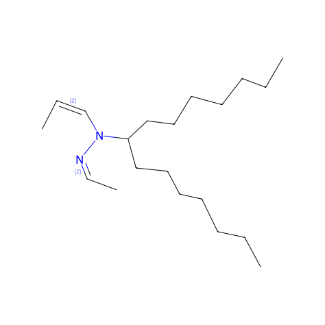 C/C=C\N(/N=C\C)C(CCCCCCC)CCCCCCC